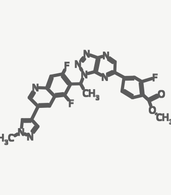 COC(=O)c1ccc(-c2cnc3nnn(C(C)c4c(F)cc5ncc(-c6cnn(C)c6)cc5c4F)c3n2)cc1F